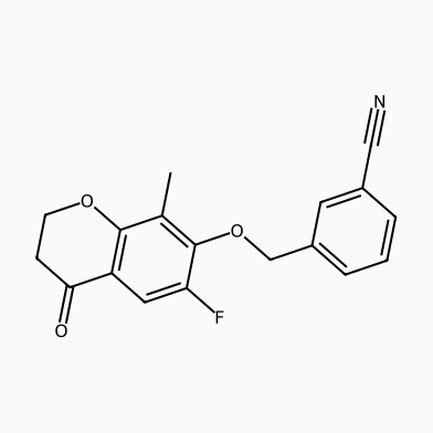 Cc1c(OCc2cccc(C#N)c2)c(F)cc2c1OCCC2=O